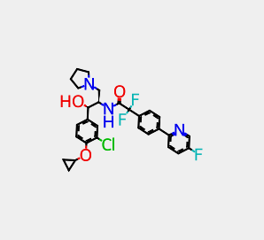 O=C(N[C@H](CN1CCCC1)[C@H](O)c1ccc(OC2CC2)c(Cl)c1)C(F)(F)c1ccc(-c2ccc(F)cn2)cc1